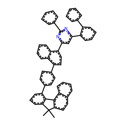 CC1(C)c2cccc(-c3ccc(-c4ccc(-c5cc(-c6ccccc6-c6ccccc6)nc(-c6ccccc6)n5)c5ccccc45)cc3)c2-c2c1ccc1ccccc21